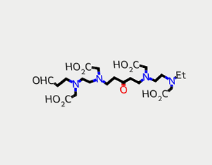 CCN(CCN(CCC(=O)CCN(CCN(CCC=O)CC(=O)O)CC(=O)O)CC(=O)O)CC(=O)O